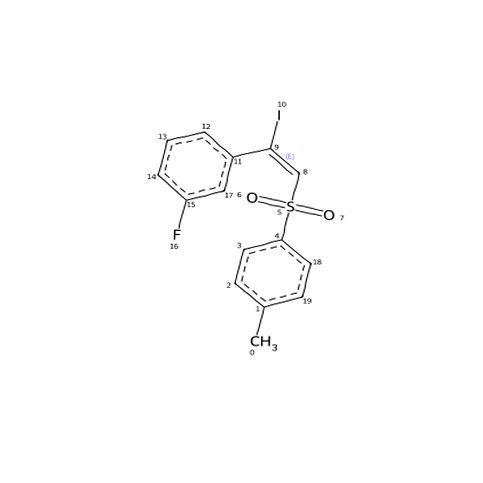 Cc1ccc(S(=O)(=O)/C=C(/I)c2cccc(F)c2)cc1